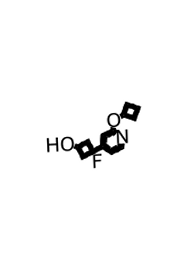 OC1CC(F)(c2ccnc(OC3CCC3)c2)C1